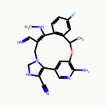 CN/C1=C(\C=N)CN2CNC(C#N)=C2c2cnc(N)c(c2)OC(C)c2cc(F)ccc21